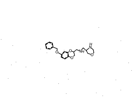 c1ccc(COc2ccc3c(c2)OC(CNCC2COCCN2)CO3)cc1